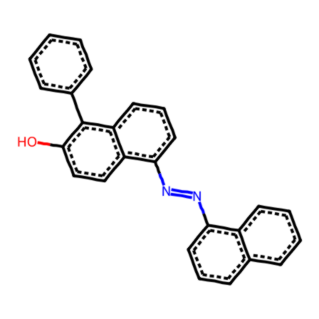 Oc1ccc2c(N=Nc3cccc4ccccc34)cccc2c1-c1ccccc1